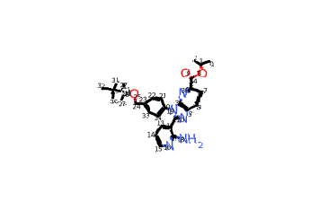 CC(C)OC(=O)c1ccc2nc(-c3cccnc3N)n(-c3ccc(CO[Si](C)(C)C(C)(C)C)cc3)c2n1